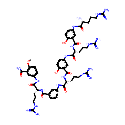 COc1ccc(NC(=O)[C@@H](CCCNC(=N)N)NC(=O)c2cccc(NC(=O)[C@@H](CCCNC(=N)N)NC(=O)c3cc(NC(=O)[C@@H](CCCNC(=N)N)NC(=O)c4cc(NC(=O)[C@H](N)CCCNC(=N)N)ccc4O)ccc3O)c2)cc1C(N)=O